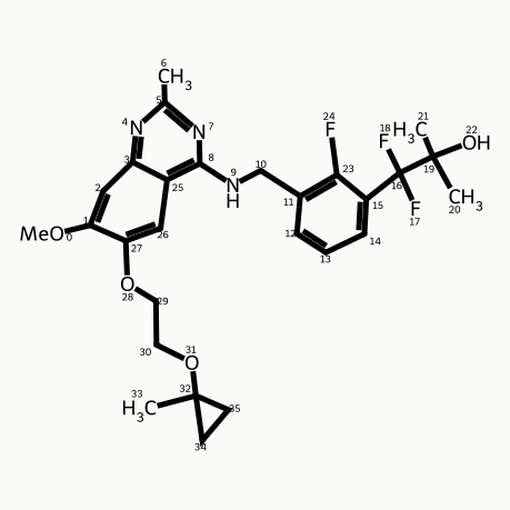 COc1cc2nc(C)nc(NCc3cccc(C(F)(F)C(C)(C)O)c3F)c2cc1OCCOC1(C)CC1